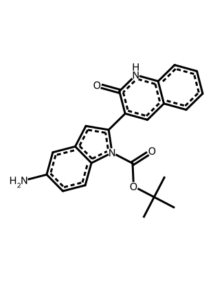 CC(C)(C)OC(=O)n1c(-c2cc3ccccc3[nH]c2=O)cc2cc(N)ccc21